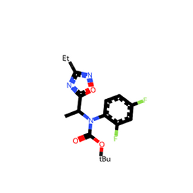 CCc1noc(C(C)N(C(=O)OC(C)(C)C)c2ccc(F)cc2F)n1